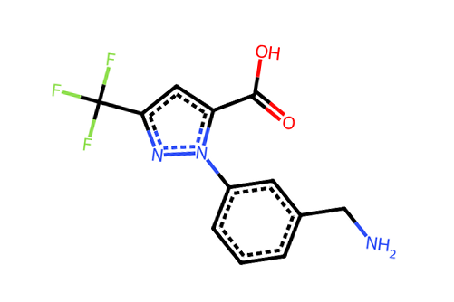 NCc1cccc(-n2nc(C(F)(F)F)cc2C(=O)O)c1